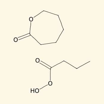 CCCC(=O)OO.O=C1CCCCCO1